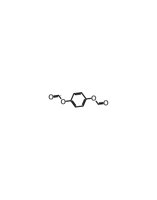 O=[C]Oc1ccc(OC=O)cc1